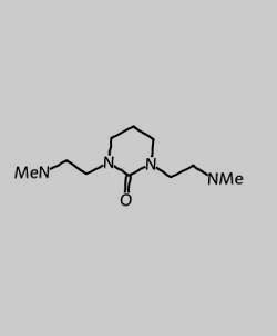 CNCCN1CCCN(CCNC)C1=O